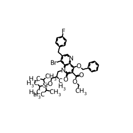 CCOC(=O)c1c(OCc2ccccc2)c2ncc(Cc3ccc(F)cc3)c(Br)c2n(CC(C)CO[Si](C(C)C)(C(C)C)C(C)C)c1=O